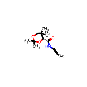 CC(=O)/C=C/NC(=O)[C@@H]1OC(C)(C)OCC1(C)C